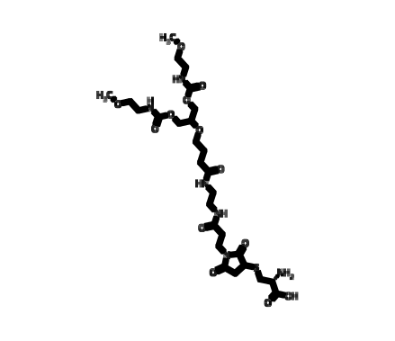 COCCNC(=O)OCC(COC(=O)NCCOC)OCCCC(=O)NCCNC(=O)CCN1C(=O)CC(SC[C@H](N)C(=O)O)C1=O